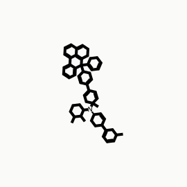 CC1C=CC=C(C2C=C[C@H](N(C3CCCC(C)C3C)C3(C)C=CC(C4=CCC(C5(C6=CC=CCC6)C6=c7c(cccc7=CCC6)-c6ccccc65)C=C4)=CC3)CC2)C1